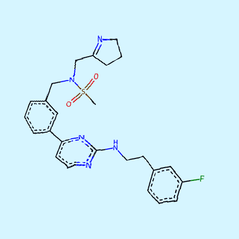 CS(=O)(=O)N(CC1=NCCC1)Cc1cccc(-c2ccnc(NCCc3cccc(F)c3)n2)c1